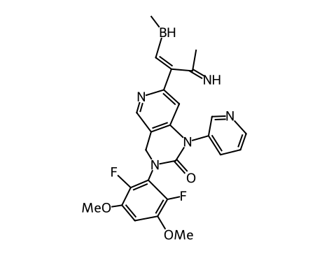 CB/C=C(\C(C)=N)c1cc2c(cn1)CN(c1c(F)c(OC)cc(OC)c1F)C(=O)N2c1cccnc1